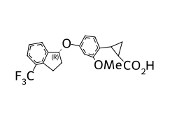 COc1cc(O[C@@H]2CCc3c2cccc3C(F)(F)F)ccc1C1CC1C(=O)O